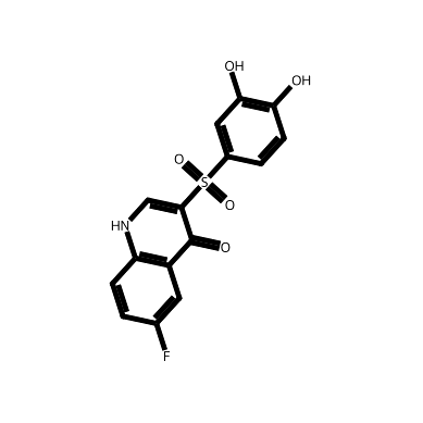 O=c1c(S(=O)(=O)c2ccc(O)c(O)c2)c[nH]c2ccc(F)cc12